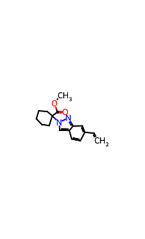 C=Cc1ccc2cn(C3(C(=O)OC)CCCCC3)nc2c1